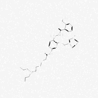 CCCN(CCC)CCCOCC(=O)Nc1ccc(NNC(=O)c2ccccc2CO)c(SCc2ccc[n+](C)c2)c1